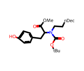 CCCCCCCCCCCCN(C(=O)OC(C)(C)C)C(Cc1ccc(O)cc1)C(=O)OC